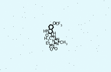 CC[C@H]1COC(=O)N1c1nc(C)nc(N[C@@H](C)c2cc3cc(OC(F)(F)F)ccc3[nH]c2=O)n1